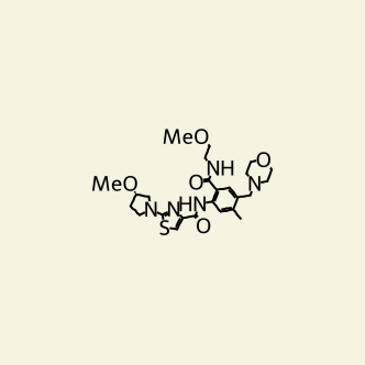 COCCNC(=O)c1cc(CN2CCOCC2)c(C)cc1NC(=O)c1csc(N2CC[C@H](OC)C2)n1